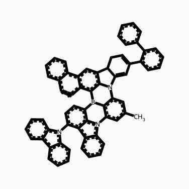 Cc1cc2c3c(c1)-n1c4ccccc4c4c(-n5c6ccccc6c6ccccc65)ccc(c41)B3c1c3c(cc4c5ccccc5c5ccccc5c14)C1CC=C(c4ccccc4-c4ccccc4)C=C1N23